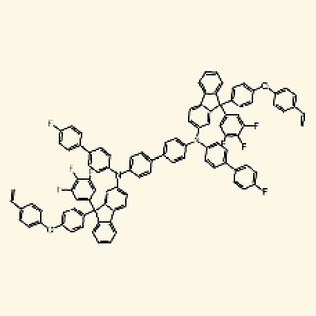 C=Cc1ccc(Oc2ccc(C3(c4cc(F)c(F)c(F)c4)c4ccccc4-c4ccc(N(c5ccc(-c6ccc(F)cc6)cc5)c5ccc(-c6ccc(N(c7ccc(-c8ccc(F)cc8)cc7)c7ccc8c(c7)C(c7ccc(Oc9ccc(C=C)cc9)cc7)(c7cc(F)c(F)c(F)c7)c7ccccc7-8)cc6)cc5)cc43)cc2)cc1